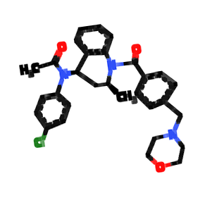 CC(=O)N(c1ccc(Cl)cc1)[C@@H]1C[C@H](C)N(C(=O)c2ccc(CN3CCOCC3)cc2)c2ccccc21